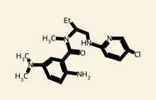 CCC(CNc1ccc(Cl)cn1)N(C)C(=O)c1cc(N(C)C)ccc1N